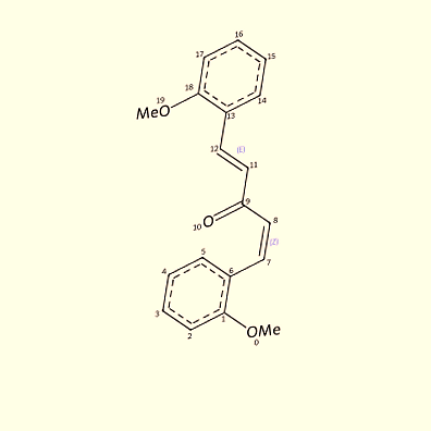 COc1ccccc1/C=C\C(=O)/C=C/c1ccccc1OC